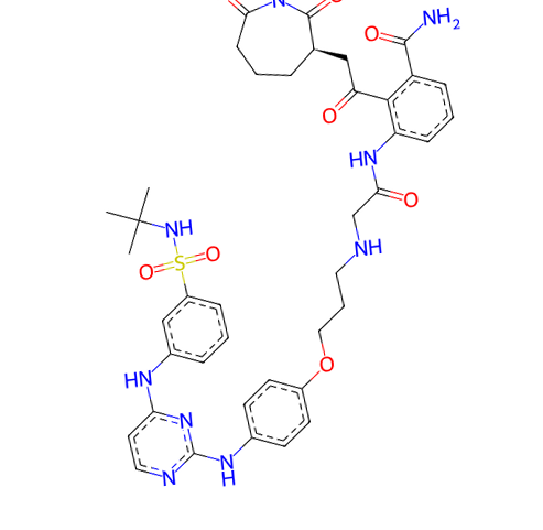 CC(C)(C)NS(=O)(=O)c1cccc(Nc2ccnc(Nc3ccc(OCCCNCC(=O)Nc4cccc(C(N)=O)c4C(=O)C[C@H]4CCCC(=O)NC4=O)cc3)n2)c1